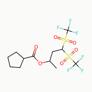 CC(CC(S(=O)(=O)C(F)(F)F)S(=O)(=O)C(F)(F)F)OC(=O)C1CCCC1